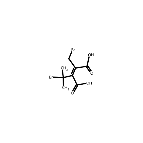 CC(C)(Br)C(C(=O)O)=C(CBr)C(=O)O